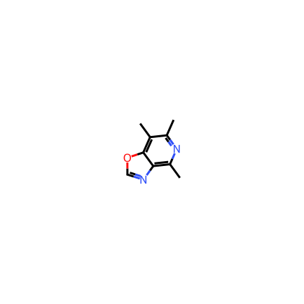 Cc1nc(C)c2ncoc2c1C